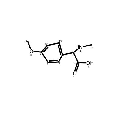 CNC(C(=O)O)c1ccc(OC)cc1